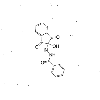 O=C(NNC1(O)C(=O)c2ccccc2C1=O)c1ccccc1